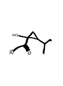 CC(C)C1CC1(O)C(=O)O